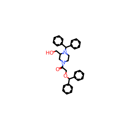 O=C(COC(c1ccccc1)c1ccccc1)N1CCN(C(c2ccccc2)c2ccccc2)C(CO)C1